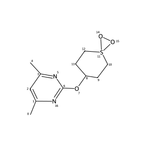 Cc1[c]c(C)nc(OC2CCS3(CC2)OO3)n1